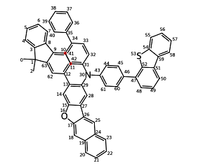 CC1(C)c2ccccc2-c2ccc(-c3cc4oc5cc6ccccc6cc5c4cc3N(c3ccc(-c4ccccc4)cc3)c3ccc(-c4cccc5c4sc4ccccc45)cc3)cc21